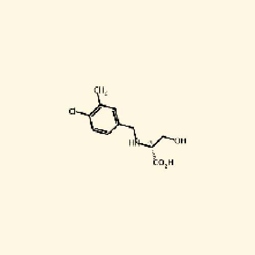 Cc1cc(CN[C@H](CO)C(=O)O)ccc1Cl